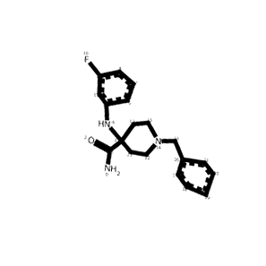 NC(=O)C1(Nc2cccc(F)c2)CCN(Cc2ccccc2)CC1